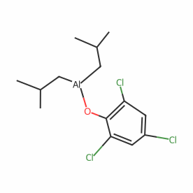 CC(C)[CH2][Al]([CH2]C(C)C)[O]c1c(Cl)cc(Cl)cc1Cl